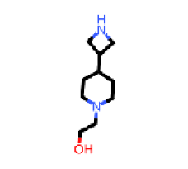 OCCN1CCC(C2CNC2)CC1